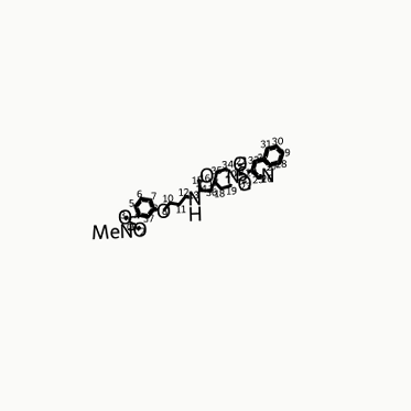 CNS(=O)(=O)c1cccc(OCCCN[C@H]2COC3(CCN(S(=O)(=O)c4cnc5ccccc5c4)CC3)C2)c1